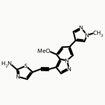 COc1cc(-c2cnn(C)c2)cn2ncc(C#Cc3cnc(N)s3)c12